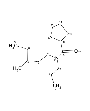 CCCN(CCC(C)CC)C(=O)C1CCCC1